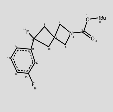 CC(C)(C)OC(=O)N1CC2(C1)CC(F)(c1cccc(F)c1)C2